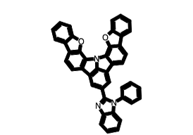 c1ccc(-n2c(-c3cc4c5ccc6c7ccccc7oc6c5n5c4c(c3)c3ccc4c6ccccc6oc4c35)nc3ccccc32)cc1